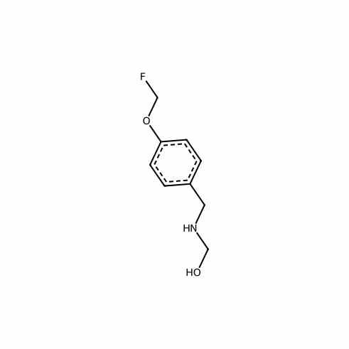 OCNCc1ccc(OCF)cc1